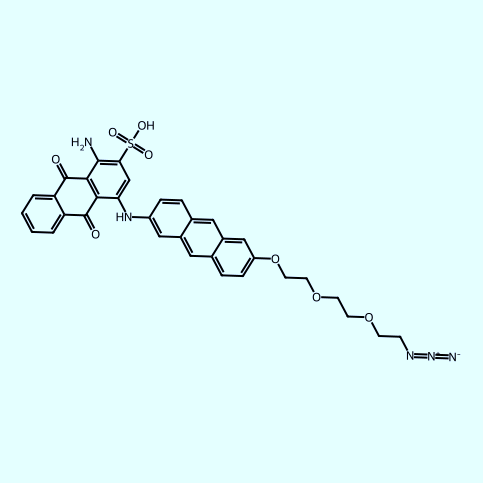 [N-]=[N+]=NCCOCCOCCOc1ccc2cc3cc(Nc4cc(S(=O)(=O)O)c(N)c5c4C(=O)c4ccccc4C5=O)ccc3cc2c1